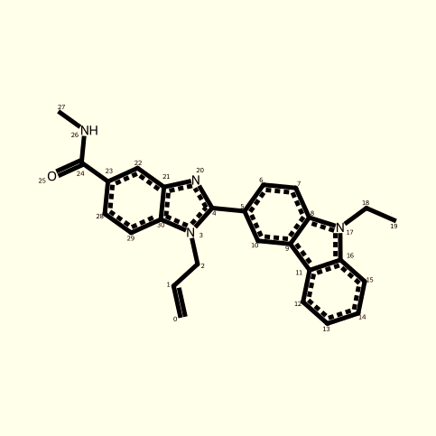 C=CCn1c(-c2ccc3c(c2)c2ccccc2n3CC)nc2cc(C(=O)NC)ccc21